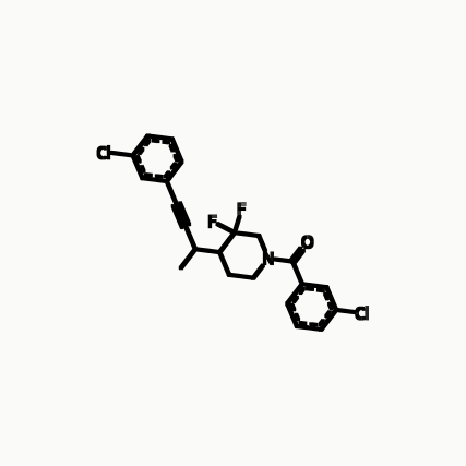 CC(C#Cc1cccc(Cl)c1)C1CCN(C(=O)c2cccc(Cl)c2)CC1(F)F